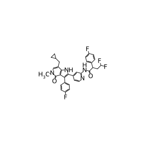 Cn1cc(CC2CC2)c2[nH]c(-c3ccnc(NC(=O)C(CC(F)F)c4ccc(F)cc4)c3)c(-c3ccc(F)cc3)c2c1=O